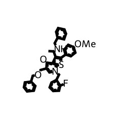 COc1ccc(-c2sc3c(c2C(C)NCc2ccccc2)c(=O)c(COCc2ccccc2)cn3Cc2ccccc2F)cc1